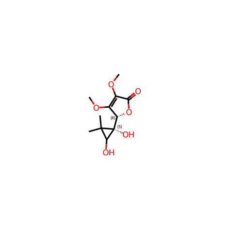 COC1=C(OC)[C@@H]([C@@]2(O)C(O)C2(C)C)OC1=O